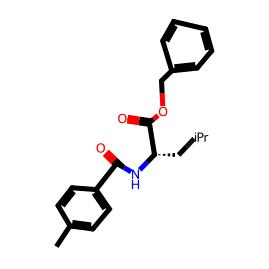 Cc1ccc(C(=O)N[C@@H](CC(C)C)C(=O)OCc2ccccc2)cc1